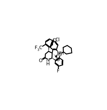 O=C1C[C@@H](c2cc(Cl)ccc2C(F)(F)F)[C@]2(C(=O)Nc3cc(Cl)ccc32)[C@@H](c2cc(F)ccc2OC2CCCCC2)N1